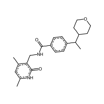 Cc1cc(C)c(CNC(=O)c2ccc(C(C)C3CCOCC3)cc2)c(=O)[nH]1